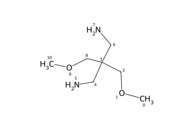 COCC(CN)(CN)COC